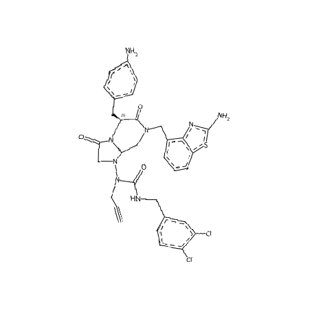 C#CCN(C(=O)NCc1ccc(Cl)c(Cl)c1)N1CC(=O)N2C1CN(Cc1cccc3sc(N)nc13)C(=O)[C@@H]2Cc1ccc(N)cc1